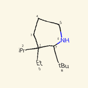 CCC1(C(C)C)CCCNC1C(C)(C)C